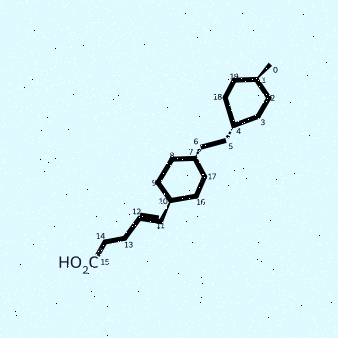 C[C@H]1CC[C@H](CC[C@H]2CC[C@H](C=CCCC(=O)O)CC2)CC1